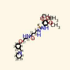 COc1cc(NC(=S)NCCCC(=O)NCCCOc2cccc(CN3CCCCC3)c2)cc(OC)c1OC